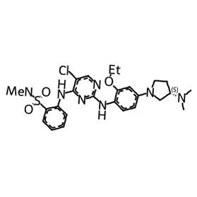 CCOc1cc(N2CC[C@H](N(C)C)C2)ccc1Nc1ncc(Cl)c(Nc2ccccc2S(=O)(=O)NC)n1